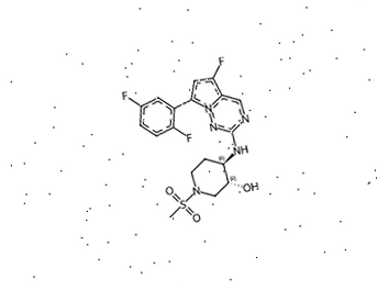 CS(=O)(=O)N1CC[C@@H](Nc2ncc3c(F)cc(-c4cc(F)ccc4F)n3n2)[C@H](O)C1